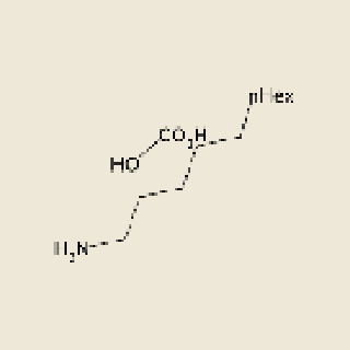 CCCCCCCCCCCN.O=C(O)O